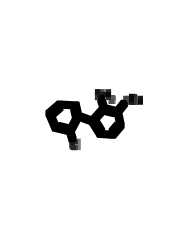 CCCCc1cccc(-c2ccccc2Cl)c1N